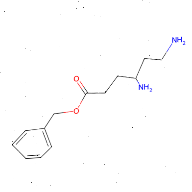 NCCC(N)CCC(=O)OCc1ccccc1